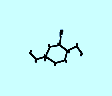 CCC1CCN(CC)CC1F